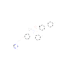 O=C(O)c1cccc(CN([C@]2(C(=O)O)C[C@@H]2c2cccc(OCCn3ccnc3)c2)S(=O)(=O)c2ccc(-c3ccc(Cl)cc3)cc2)c1